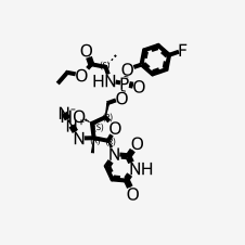 CCOC(=O)[C@H](C)NP(=O)(OC[C@H]1O[C@@H](n2ccc(=O)[nH]c2=O)[C@](C)(N=[N+]=[N-])[C@@H]1O)Oc1ccc(F)cc1